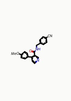 COc1ccc(-c2ccncc2C(=O)NCc2ccc(C#N)cc2)cc1